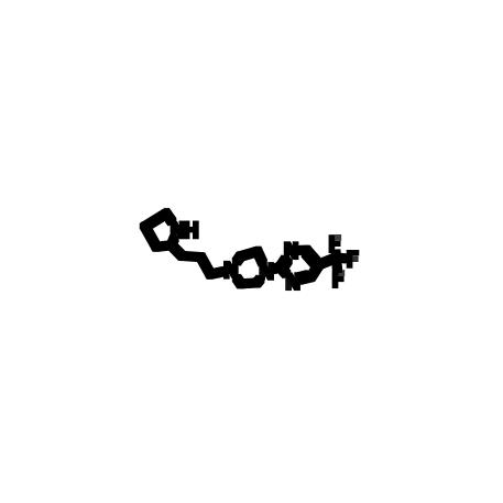 FC(F)(F)c1cnc(N2CCN(CCCC3CCCN3)CC2)nc1